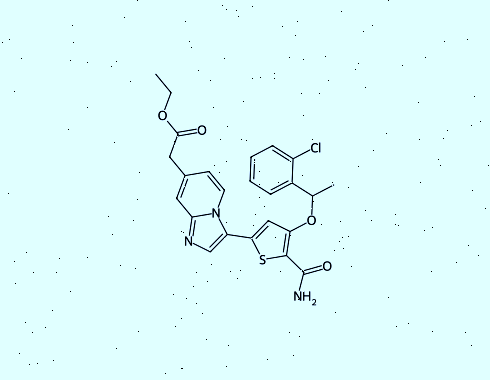 CCOC(=O)Cc1ccn2c(-c3cc(OC(C)c4ccccc4Cl)c(C(N)=O)s3)cnc2c1